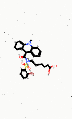 CN1c2ccccc2C(C(=O)N(CCCCCC(=O)O)S(=O)(=O)c2ccccc2Br)c2ccccc21